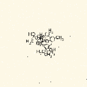 C=CC(=O)O.C=CC(=O)O.Cc1cc(Cc2cc(C)cc(C(C)(C)C)c2O)c(O)c(C(C)(C)C)c1